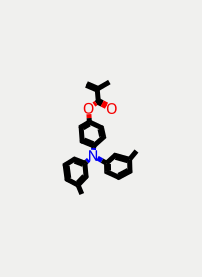 C=C(C)C(=O)Oc1ccc(N(c2cccc(C)c2)c2cccc(C)c2)cc1